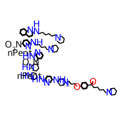 C1CCNCC1.C1CCNCC1.CCCCCNc1ccc(N)cn1.CCCCCNc1ncccc1[N+](=O)[O-].O=C(CCCCCN1CCCCC1)c1ccc(OCCCN2CCCCC2)cc1.O=[N+]([O-])c1ccc(NCCCCCN2CCCCC2)nc1.c1ccc2nc(NCCCCCCN3CCCCC3)ccc2c1